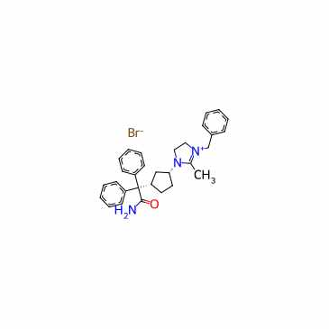 CC1=[N+](Cc2ccccc2)CCN1[C@@H]1CC[C@H](C(C(N)=O)(c2ccccc2)c2ccccc2)C1.[Br-]